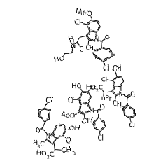 CCCC(C(=O)O)c1c(C)n(C(=O)c2ccc(Cl)cc2)c2ccc(O)c(Cl)c12.CCc1cc2c(c(Cl)c1O)c(OC(C)=O)c(C)n2C(=O)c1ccc(Cl)cc1.COc1ccc2c(c1Cl)c(CC(=O)NCCO)c(C)n2C(=O)c1ccc(Cl)cc1.Cc1c(C(C)C(=O)O)c2c(Cl)c(O)ccc2n1C(=O)c1ccc(Cl)cc1